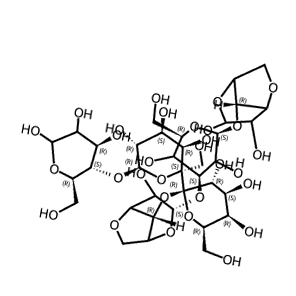 OC[C@H]1O[C@@H](O[C@@H]2C3COC2C(O)C(O)O3)C(O)[C@@H](O[C@@H]2OC3COC(C2O)[C@@H]3O[C@]2([C@@]3(CO)O[C@@H](O[C@H]4[C@H](O)C(O)C(O)O[C@@H]4CO)[C@H](O)[C@@H](O)[C@H]3O)O[C@H](CO)[C@H](O)[C@H](O)[C@H]2O)C1O